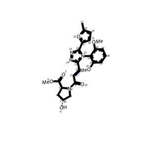 COC(=O)C1C[C@@H](O)CN1C(=O)/C=C/c1nnc(-c2ccc(C)o2)n1-c1c(OC)cccc1OC